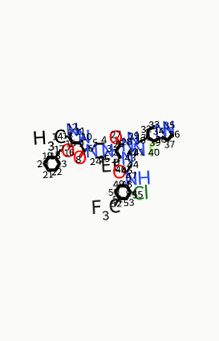 CCc1c(N2CCN(C(=O)c3ncnc(C)c3OCc3ccccc3)CC2)c(=O)n2nc(-c3ccn4nccc4c3F)nc2n1CC(=O)Nc1ccc(C(F)(F)F)cc1Cl